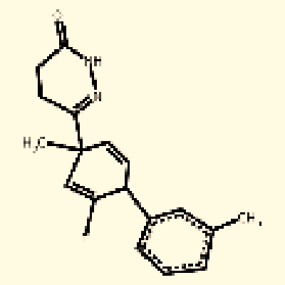 Cc1cccc(C2C=CC(C)(C3=NNC(=O)CC3)C=C2F)c1